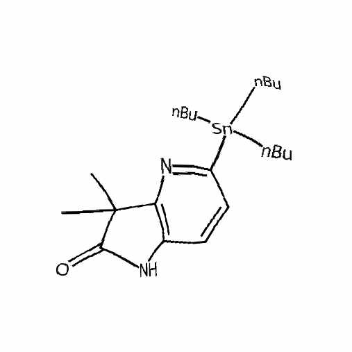 CCC[CH2][Sn]([CH2]CCC)([CH2]CCC)[c]1ccc2c(n1)C(C)(C)C(=O)N2